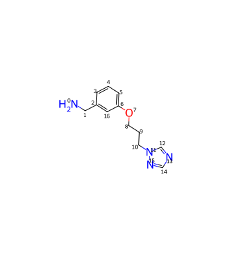 NCc1cccc(OCCCn2cncn2)c1